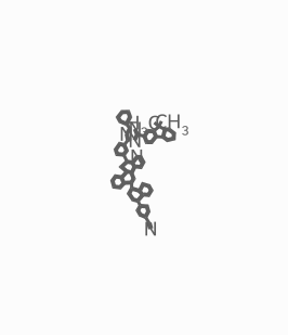 CC1(C)c2ccccc2-c2ccc(-c3nc(-c4ccccc4)nc(-c4cccc(-c5cc6c7ccccc7c(-c7ccc(-c8ccc(C#N)cc8)c8ccccc78)cc6c6cccnc56)c4)n3)cc21